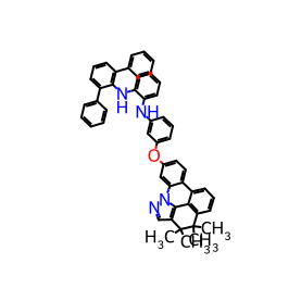 CC1(C)c2cccc3c4ccc(Oc5cccc(Nc6ccccc6Nc6c(-c7ccccc7)cccc6-c6ccccc6)c5)cc4n4ncc(c4c23)C1(C)C